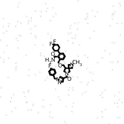 CN1CC2(C1)CN(C(=O)c1cnn(Cc3ccc(F)cc3)c1)CC2COCc1cccc(C2CCC(F)(F)CC2)c1C(N)=O